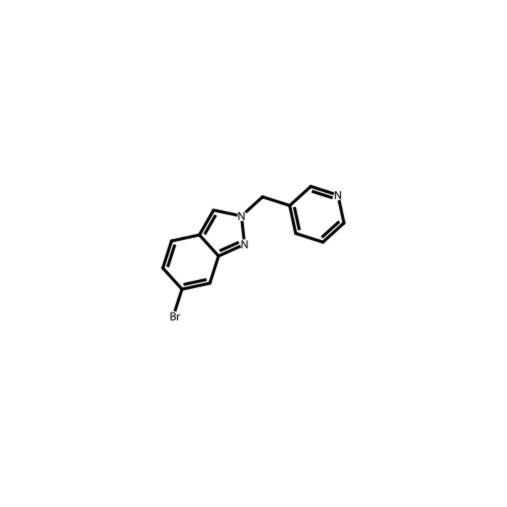 Brc1ccc2cn(Cc3cccnc3)nc2c1